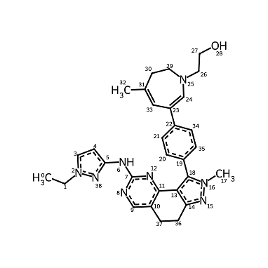 CCn1ccc(Nc2ncc3c(n2)-c2c(nn(C)c2-c2ccc(C4=CN(CCO)CCC(C)=C4)cc2)CC3)n1